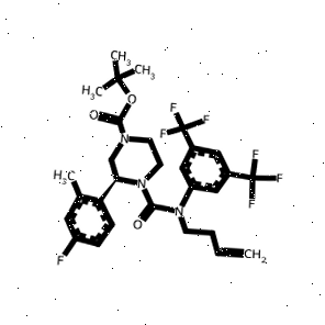 C=CCCN(C(=O)N1CCN(C(=O)OC(C)(C)C)C[C@@H]1c1ccc(F)cc1C)c1cc(C(F)(F)F)cc(C(F)(F)F)c1